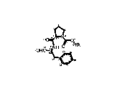 CC(C)(C)OC(=O)N1CCC[C@@H]1C(=O)N[C@H]([C]=O)Cc1ccccc1